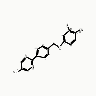 CCCCc1cnc(-c2ccc(COc3ccc(C#N)c(F)c3)cc2)nc1